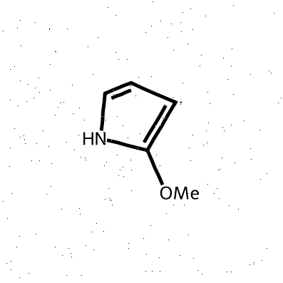 COc1[c]cc[nH]1